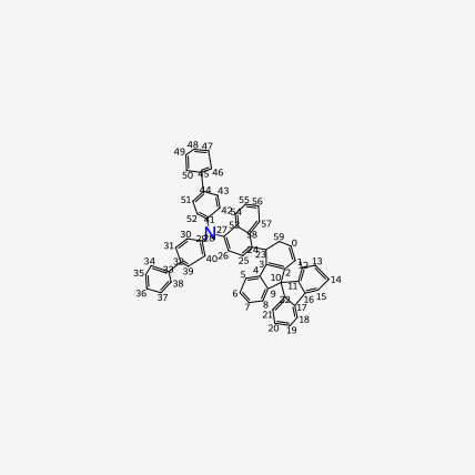 C1=CC2=C(c3ccccc3C23c2ccccc2-c2ccccc23)C(c2ccc(N(c3ccc(-c4ccccc4)cc3)c3ccc(-c4ccccc4)cc3)c3ccccc23)C1